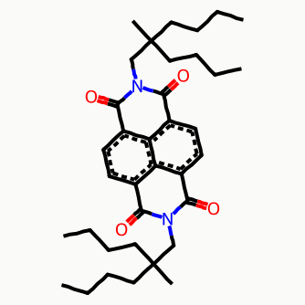 CCCCC(C)(CCCC)CN1C(=O)c2ccc3c4c(ccc(c24)C1=O)C(=O)N(CC(C)(CCCC)CCCC)C3=O